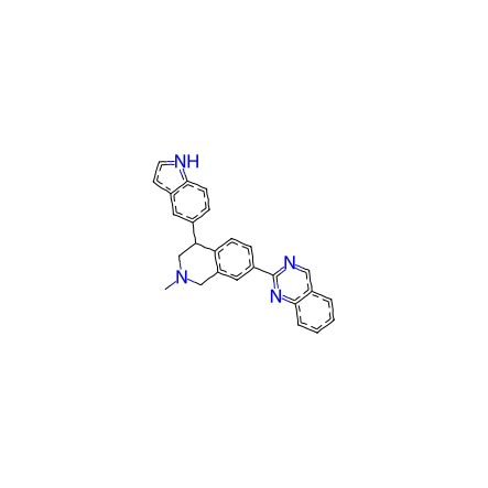 CN1Cc2cc(-c3ncc4ccccc4n3)ccc2C(c2ccc3[nH]ccc3c2)C1